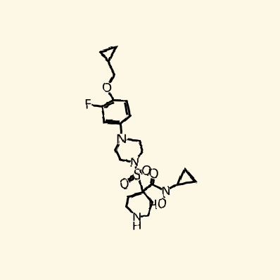 O=C(N(O)C1CC1)C1(S(=O)(=O)N2CCN(c3ccc(OCC4CC4)c(F)c3)CC2)CCNCC1